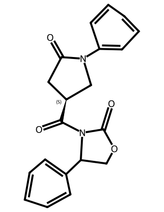 O=C1C[C@H](C(=O)N2C(=O)OCC2c2ccccc2)CN1c1ccccc1